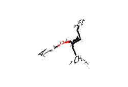 CCC=C(C)OC(C)=O